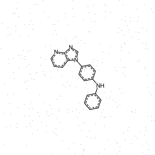 c1ccc(Nc2ccc(-n3cnc4ncccc43)cc2)cc1